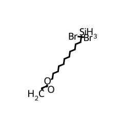 C=CC(=O)OCCCCCCCCCCCC([SiH3])(Br)Br